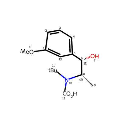 COc1cccc([C@H](O)[C@H](C)N(C(=O)O)C(C)(C)C)c1